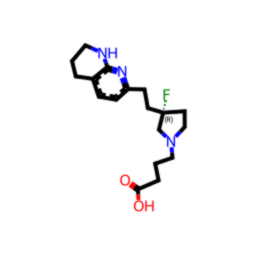 O=C(O)CCCN1CC[C@](F)(CCc2ccc3c(n2)NCCC3)C1